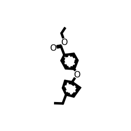 CCOC(=O)c1ccc(Oc2ccc(CC)cc2)cc1